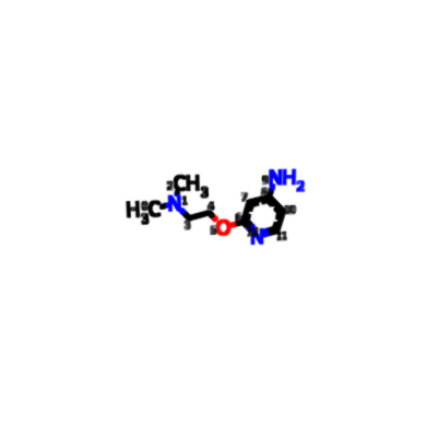 CN(C)CCOc1cc(N)ccn1